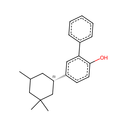 CC1C[C@H](c2ccc(O)c(-c3ccccc3)c2)CC(C)(C)C1